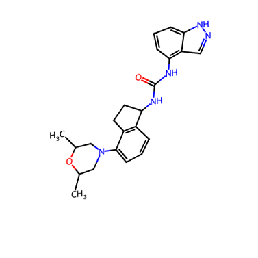 CC1CN(c2cccc3c2CCC3NC(=O)Nc2cccc3[nH]ncc23)CC(C)O1